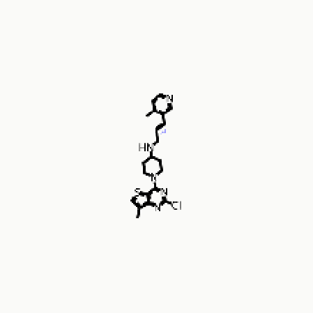 Cc1ccncc1/C=C/CNC1CCN(c2nc(Cl)nc3c(C)csc23)CC1